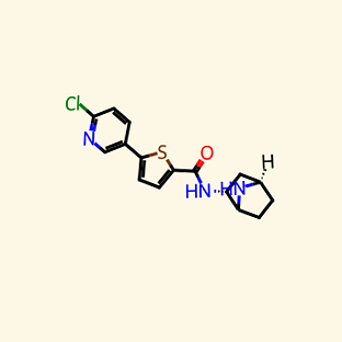 O=C(N[C@@H]1C[C@H]2CCC1N2)c1ccc(-c2ccc(Cl)nc2)s1